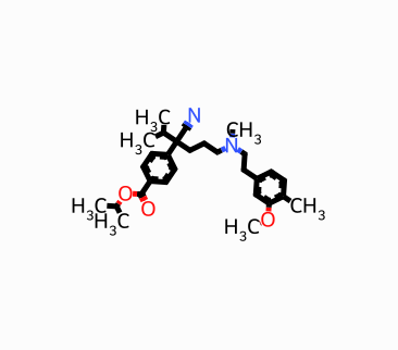 COc1cc(CCN(C)CCCC(C#N)(c2ccc(C(=O)OC(C)C)cc2)C(C)C)ccc1C